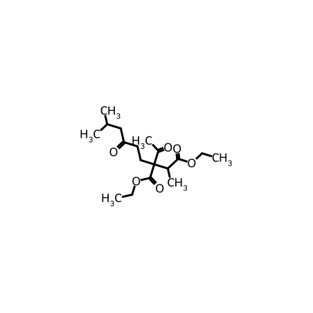 CCOC(=O)C(C)C(CCC(=O)CC(C)C)(C(C)=O)C(=O)OCC